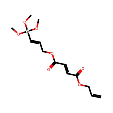 C=CCOC(=O)/C=C/C(=O)OCC=C[Si](OC)(OC)OC